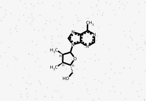 Cc1ncnc2c1ncn2C1O[C@H](CO)[C@@H](C)[C@H]1C